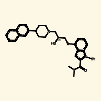 CC(C)n1c(C(=O)N(C)C)cc2c(OC[C@@H](O)CN3CCC(c4ccc5ccccc5c4)CC3)cccc21